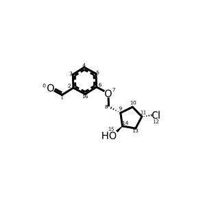 O=Cc1cccc(OC[C@@H]2C[C@H](Cl)C[C@H]2O)c1